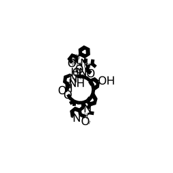 CCn1c(-c2cccnc2[C@H](C)OC)c2c3cc(ccc31)-c1cc(O)cc(c1)C[C@H](NC(=O)[C@H](C(C)C)N(C)C(=O)[C@@H]1OCC[C@H]1c1ccccc1)C(=O)N1CCC[C@H](N1)C(=O)OCC(C)(C)C2